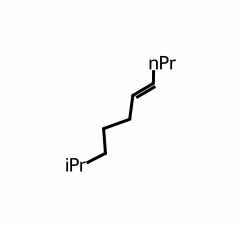 [CH2]C(C)CCC/C=C/CCC